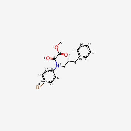 COC(=O)C(=O)N(CCCc1ccccc1)c1ccc(Br)cc1